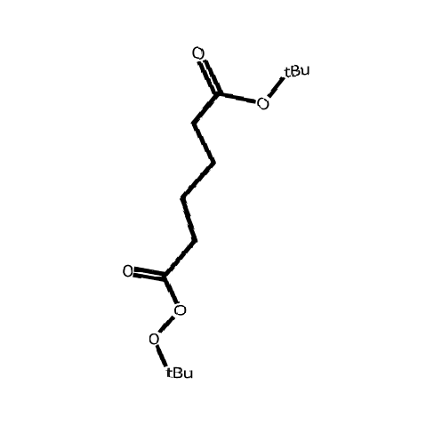 CC(C)(C)OOC(=O)CCCCC(=O)OC(C)(C)C